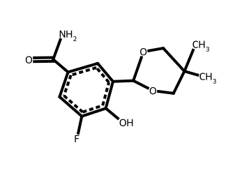 CC1(C)COC(c2cc(C(N)=O)cc(F)c2O)OC1